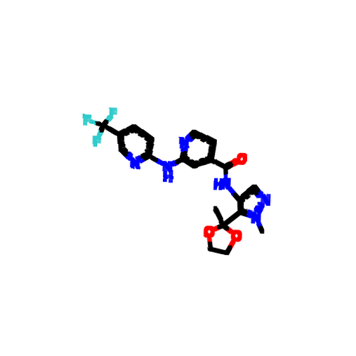 Cn1ncc(NC(=O)c2ccnc(Nc3ccc(C(F)(F)F)cn3)c2)c1C1(C)OCCO1